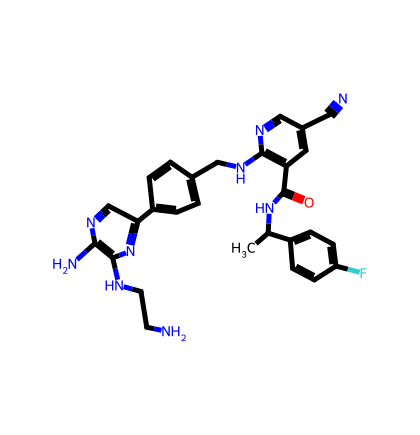 CC(NC(=O)c1cc(C#N)cnc1NCc1ccc(-c2cnc(N)c(NCCN)n2)cc1)c1ccc(F)cc1